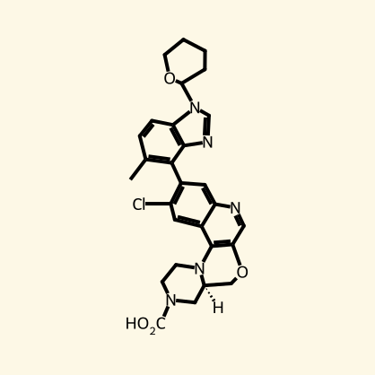 Cc1ccc2c(ncn2C2CCCCO2)c1-c1cc2ncc3c(c2cc1Cl)N1CCN(C(=O)O)C[C@@H]1CO3